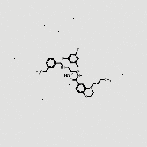 CCCCN1CCSc2ccc(C(=O)N[C@@H](Cc3cc(F)cc(F)c3)[C@H](O)CNCc3cccc(CC)c3)cc21